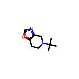 CC(C)(C)N1CCc2ocnc2C1